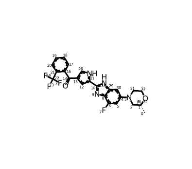 C[C@@H]1CN(c2cc(F)c3nc(-c4cc(C(=O)c5ccccc5C(F)(F)F)c[nH]4)[nH]c3c2)CCO1